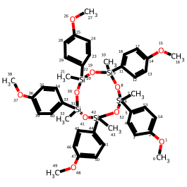 COc1ccc([Si]2(C)O[Si](C)(c3ccc(OC)cc3)O[Si](C)(c3ccc(OC)cc3)O[Si](C)(c3ccc(OC)cc3)O[Si](C)(c3ccc(OC)cc3)O2)cc1